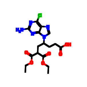 CCOC(=O)C(CC(CCC(=O)O)n1cnc2c(Cl)nc(N)nc21)C(=O)OCC